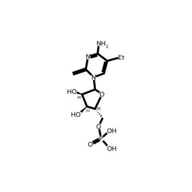 C=C1N=C(N)C(CC)=CN1C1O[C@H](COP(=O)(O)O)[C@@H](O)[C@H]1O